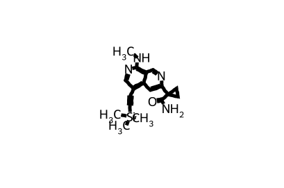 CNc1ncc(C#C[Si](C)(C)C)c2cc(C3(C(N)=O)CC3)ncc12